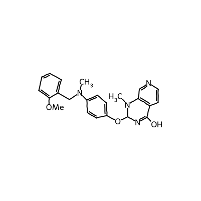 COc1ccccc1CN(C)c1ccc(OC2N=C(O)c3ccncc3N2C)cc1